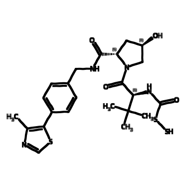 Cc1ncsc1-c1ccc(CNC(=O)[C@@H]2C[C@@H](O)CN2C(=O)[C@@H](NC(=O)SS)C(C)(C)C)cc1